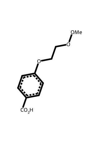 COOCCOc1ccc(C(=O)O)cc1